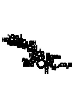 CCN(C(C)=O)[C@H]1CO[C@@H](O[C@H]2[C@H](O[C@H]3C#CC=CC#C[C@]4(O)CC(=O)C(NC(=O)OC)=C3C4=CCSSC(C)(C)CCC(=O)O)O[C@H](C)[C@@H](NO[C@H]3C[C@H](O)[C@H](SC(=O)c4c(C)c(I)c(O[C@@H]5O[C@@H](C)[C@H](O)[C@@H](OC)[C@H]5O)c(OC)c4OC)[C@@H](C)O3)[C@H]2O)C[C@@H]1OC